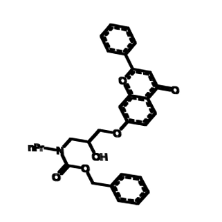 CCCN(CC(O)COc1ccc2c(=O)cc(-c3ccccc3)oc2c1)C(=O)OCc1ccccc1